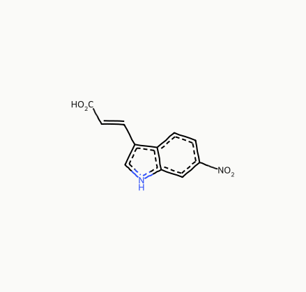 O=C(O)/C=C/c1c[nH]c2cc([N+](=O)[O-])ccc12